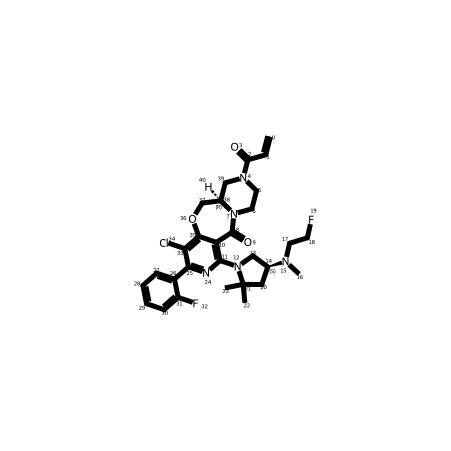 C=CC(=O)N1CCN2C(=O)c3c(N4C[C@@H](N(C)CCF)CC4(C)C)nc(-c4ccccc4F)c(Cl)c3OC[C@H]2C1